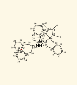 CC1=C(C)C(C)([SiH](Cc2ccccc2)Cc2ccccc2)C(CC(C)(C)[NH][Ti]([CH2]c2ccccc2)[CH2]c2ccccc2)=C1C